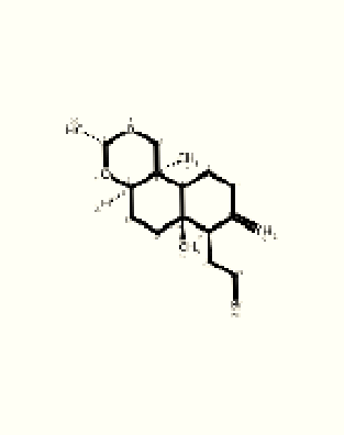 C=C1CCC2[C@]3(C)CO[C@@H](O)O[C@@H]3CC[C@@]2(C)[C@@H]1CCBr